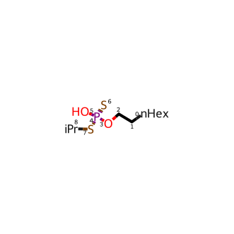 CCCCCCCCOP(O)(=S)SC(C)C